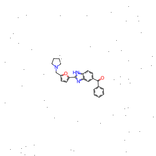 O=C(c1ccccc1)c1ccc2[nH]c(-c3ccc(CN4CCCC4)o3)nc2c1